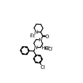 CCN1CCCCC1C(=O)N1CCN(C(c2ccccc2)c2ccc(Cl)cc2)CC1.Cl.Cl